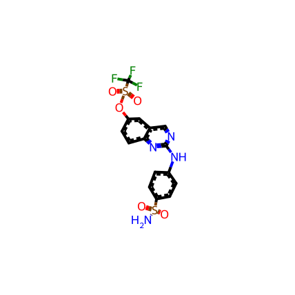 NS(=O)(=O)c1ccc(Nc2ncc3cc(OS(=O)(=O)C(F)(F)F)ccc3n2)cc1